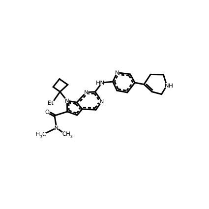 CCC1(n2c(C(=O)N(C)C)cc3cnc(Nc4ccc(C5=CCNCC5)cn4)nc32)CCC1